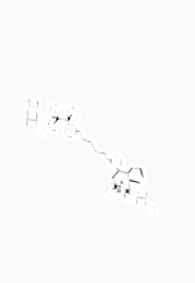 C=C(C)C(=O)OCCCCCCOc1cc(=O)n(C)c2ccccc12